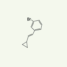 Brc1cccc(/C=C/C2CC2)c1